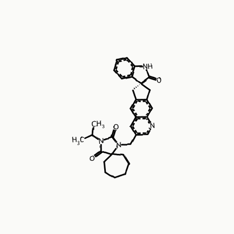 CC(C)N1C(=O)N(Cc2cnc3cc4c(cc3c2)C[C@@]2(C4)C(=O)Nc3ccccc32)C2(CCCCCC2)C1=O